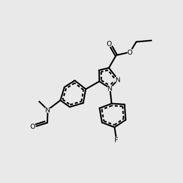 CCOC(=O)c1cc(-c2ccc(N(C)C=O)cc2)n(-c2ccc(F)cc2)n1